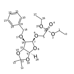 CCOP(=O)(CO[C@H]1O[C@H]2OC(C)(C)OC2[C@H]1OCc1ccccc1)OCC